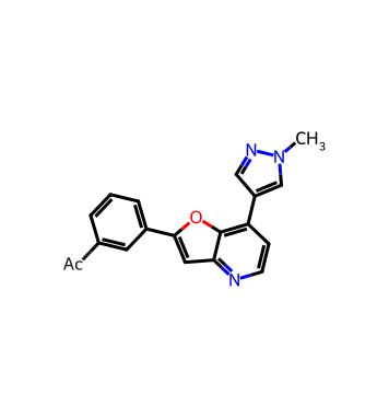 CC(=O)c1cccc(-c2cc3nccc(-c4cnn(C)c4)c3o2)c1